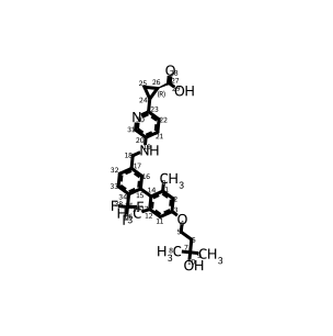 Cc1cc(OCCC(C)(C)O)cc(C)c1-c1cc(CNc2ccc(C3C[C@H]3C(=O)O)nc2)ccc1C(F)(F)F